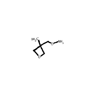 CC1(CON)COC1